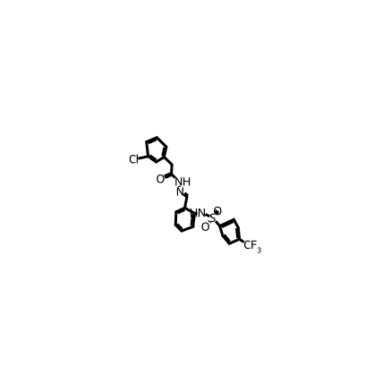 O=C(Cc1cccc(Cl)c1)NN=Cc1ccccc1NS(=O)(=O)c1ccc(C(F)(F)F)cc1